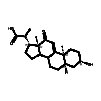 CC(C(=O)O)[C@H]1CCC2C3CC[C@@H]4C[C@H](O)CC[C@]4(C)C3=CC(=O)[C@@]21C